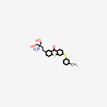 Cc1cccc(Sc2ccc3c(=O)c4cc(CCC(N)(CO)CO)ccc4sc3c2)c1